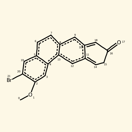 COc1cc2c(ccc3cc4c(cc32)=CCC(=O)C=4)cc1Br